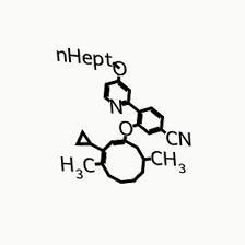 CCCCCCCOc1ccnc(-c2ccc(C#N)cc2O/C2=C/C(C3CC3)=C(/C)CCCCC(C)C2)c1